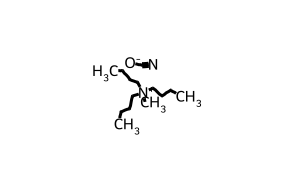 CCCC[N+](C)(CCCC)CCCC.N#C[O-]